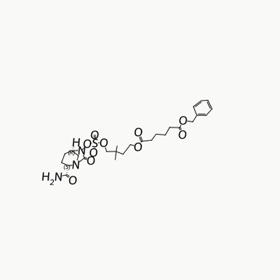 CC(C)(CCOC(=O)CCCCC(=O)OCc1ccccc1)COS(=O)(=O)ON1C(=O)N2C[C@H]1CC[C@H]2C(N)=O